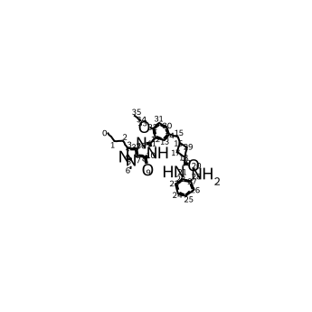 CCCc1nn(C)c2c(=O)[nH]c(-c3cc(CC4CC(C(=O)Nc5ccccc5N)C4)ccc3OCC)nc12